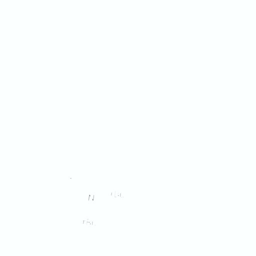 CC(C)(C)N(C(C)(C)C)C1(c2ccc(C#Cc3ccccc3)cc2)CC1